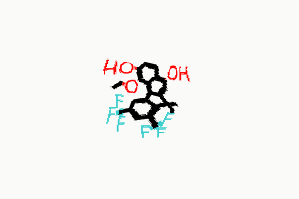 CCOc1c(O)ccc2c(O)cc3c(c12)-c1cc(C(F)(F)F)cc(C(F)(F)F)c1C3(C)C